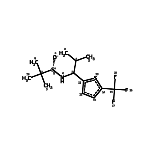 CC(C)C(N[S@@+]([O-])C(C)(C)C)c1ccc(C(F)(F)F)s1